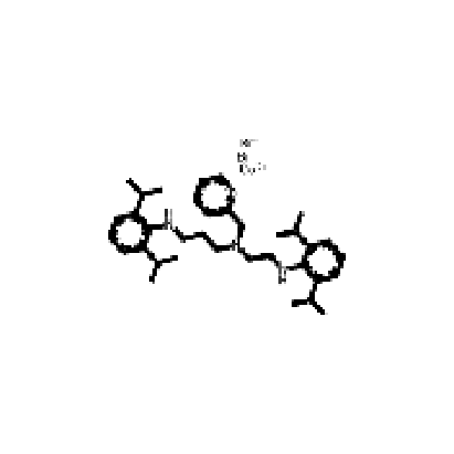 CC(C)c1cccc(C(C)C)c1NCCCN(CCNc1c(C(C)C)cccc1C(C)C)Cc1ccccn1.[Br-].[Br-].[Co+2]